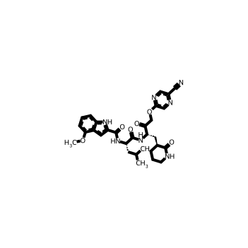 COc1cccc2[nH]c(C(=O)N[C@@H](CC(C)C)C(=O)N[C@@H](C[C@@H]3CCCNC3=O)C(=O)COc3cnc(C#N)cn3)cc12